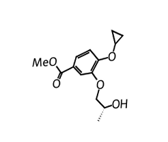 COC(=O)c1ccc(OC2CC2)c(OC[C@@H](C)O)c1